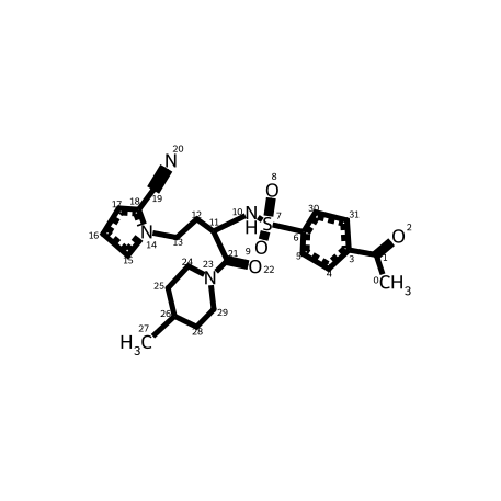 CC(=O)c1ccc(S(=O)(=O)NC(CCn2cccc2C#N)C(=O)N2CCC(C)CC2)cc1